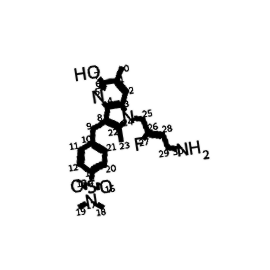 Cc1cc2c(nc1O)c(Cc1ccc(S(=O)(=O)N(C)C)cc1)c(C)n2C/C(F)=C/CN